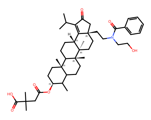 CC(C)C1=C2[C@H]3CCC4[C@@]5(C)CC[C@H](OC(=O)CC(C)(C)C(=O)O)C(C)C5CC[C@@]4(C)[C@]3(C)CC[C@@]2(CCN(CCO)C(=O)c2ccccc2)CC1=O